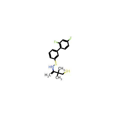 C=C(NSc1cccc(-c2ccc(F)cc2F)c1)C(C)(C)CS